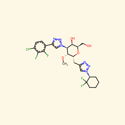 CO[C@@H]1[C@@H](n2cc(-c3ccc(Cl)c(F)c3F)nn2)[C@@H](O)[C@@H](CO)O[C@@H]1Cc1cn([C@H]2CCCCC2(F)F)nn1